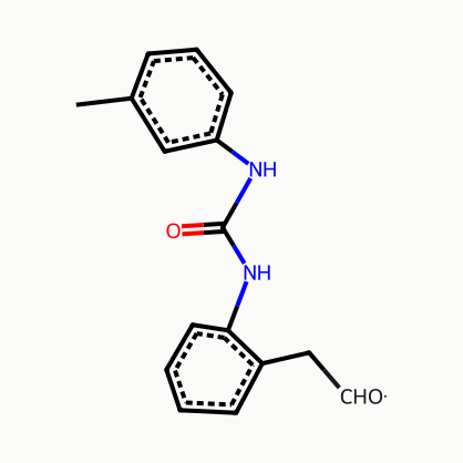 Cc1cccc(NC(=O)Nc2ccccc2C[C]=O)c1